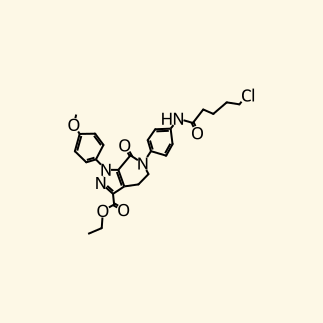 CCOC(=O)c1nn(-c2ccc(OC)cc2)c2c1CCN(c1ccc(NC(=O)CCCCCl)cc1)C2=O